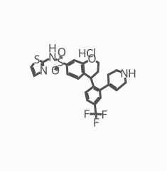 Cl.O=S(=O)(Nc1nccs1)c1ccc2c(c1)OCCC2c1ccc(C(F)(F)F)cc1C1=CCNCC1